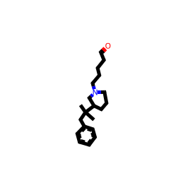 CC(C)(Cc1ccccc1)C1CCCN(CCCCC=O)C1